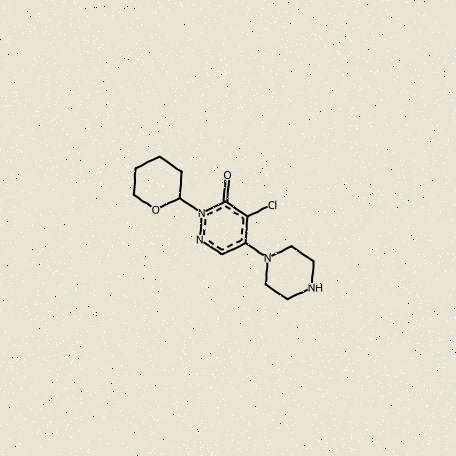 O=c1c(Cl)c(N2CCNCC2)cnn1C1CCCCO1